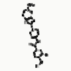 CCOc1ccc(C(=O)Nc2ccc(-c3nc4cc(OC)ccc4[nH]3)cc2)cc1Br